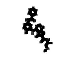 COC[C@H](C)NC(=O)c1cn2ncnc(Nc3cc(NC(=O)c4ccccc4)ccc3C)c2c1C